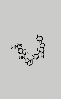 Cc1c(C(=O)NC2CC3CCCN(c4ccc(C(=O)N[C@@H](C)c5ccc(N6CCN(C)CC6)cc5)cn4)C3C2)ccc2[nH]nnc12